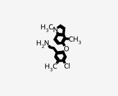 Cc1cc(CCN)c(Oc2ccc3c(ccn3C)c2C)cc1Cl